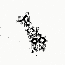 O=C(NCc1ccc(OC(F)(F)F)cc1)[C@H]1CN(c2nn3c(C(F)(F)F)cc(=O)nc3s2)CCN1S(=O)(=O)c1ccc(OC(F)(F)F)cc1